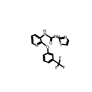 O=C(Nc1nccs1)Nc1cccnc1Oc1cccc(C(F)(F)F)c1